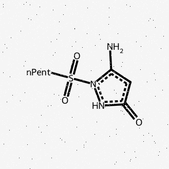 CCCCCS(=O)(=O)n1[nH]c(=O)cc1N